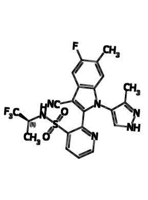 Cc1cc2c(cc1F)c(C#N)c(-c1ncccc1S(=O)(=O)N[C@@H](C)C(F)(F)F)n2-c1c[nH]nc1C